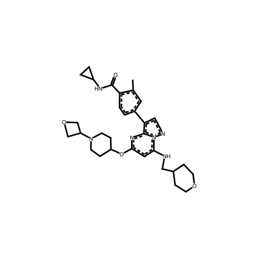 Cc1cc(-c2cnn3c(NCC4CCOCC4)cc(OC4CCN(C5COC5)CC4)nc23)ccc1C(=O)NC1CC1